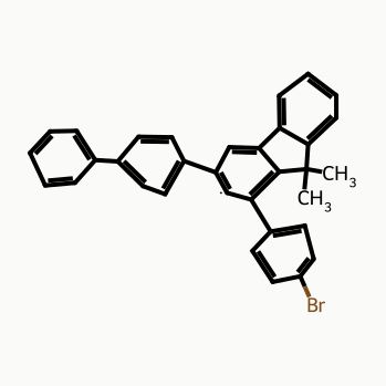 CC1(C)c2ccccc2-c2cc(-c3ccc(-c4ccccc4)cc3)[c]c(-c3ccc(Br)cc3)c21